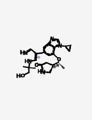 C[C@@H](Oc1cc(/C(C=N)=C/NC(C)(C)CO)cc2ncn(C3CC3)c12)[C@H]1CNC(=O)C1